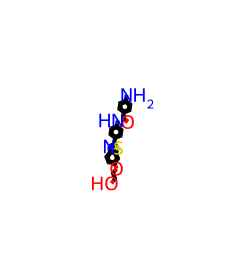 Nc1ccc(C(=O)Nc2ccc(-c3nc4ccc(OCCO)cc4s3)cc2)cc1